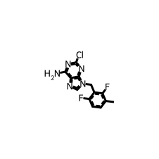 Cc1ccc(F)c(Cn2cnc3c(N)nc(Cl)nc32)c1F